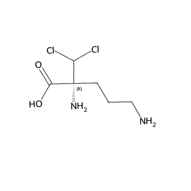 NCCC[C@@](N)(C(=O)O)C(Cl)Cl